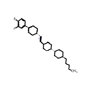 CCCCC[C@H]1CC[C@H](C2CCC(/C=C/[C@H]3CC[C@H](c4ccc(F)c(F)c4)CC3)CC2)CC1